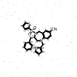 N#Cc1ccc2c(c1)CN(S(=O)(=O)c1cccs1)[C@H](Cc1ccccc1)CN2Cc1ccc[nH]1